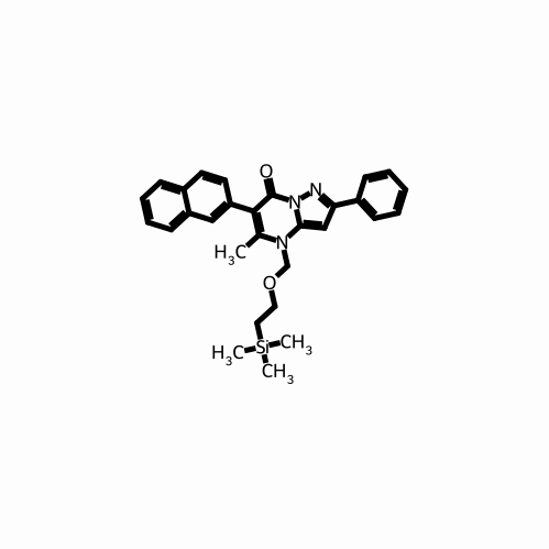 Cc1c(-c2ccc3ccccc3c2)c(=O)n2nc(-c3ccccc3)cc2n1COCC[Si](C)(C)C